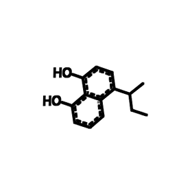 CCC(C)c1ccc(O)c2c(O)cccc12